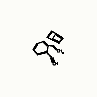 C#Cc1ccccc1C=C.c1cc2ccc1-2